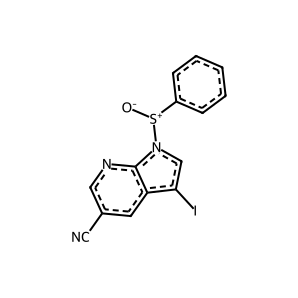 N#Cc1cnc2c(c1)c(I)cn2[S+]([O-])c1ccccc1